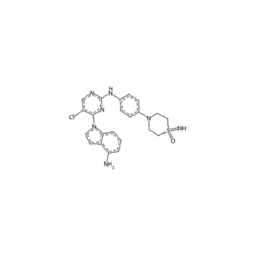 N=S1(=O)CCN(c2ccc(Nc3ncc(Cl)c(-n4ccc5c(N)cccc54)n3)cc2)CC1